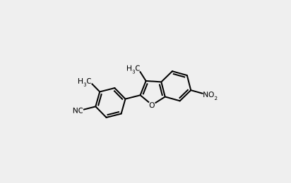 Cc1cc(-c2oc3cc([N+](=O)[O-])ccc3c2C)ccc1C#N